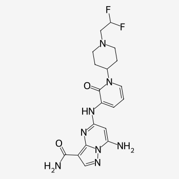 NC(=O)c1cnn2c(N)cc(Nc3cccn(C4CCN(CC(F)F)CC4)c3=O)nc12